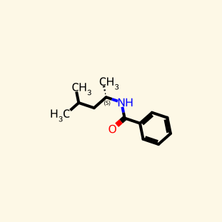 CC(C)C[C@H](C)NC(=O)c1ccccc1